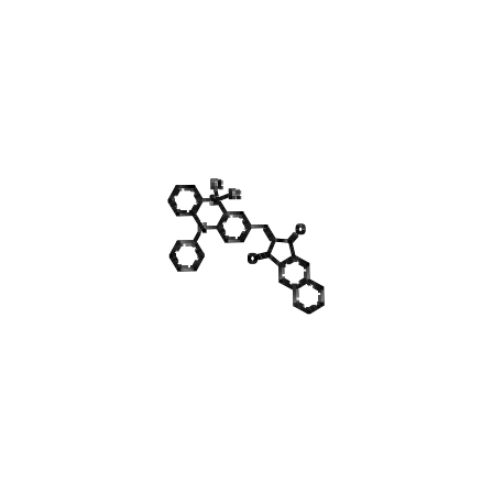 CC[Si]1(CC)c2ccccc2N(c2ccccc2)c2ccc(C=C3C(=O)c4cc5ccccc5cc4C3=O)cc21